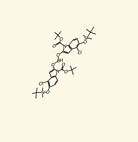 CC(C)(C)OC(=O)n1c(OBOc2cc3c(Cl)c(O[Si](C)(C)C(C)(C)C)ccc3n2C(=O)OC(C)(C)C)cc2c(Cl)c(O[Si](C)(C)C(C)(C)C)ccc21